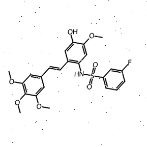 COc1cc(NS(=O)(=O)c2cccc(F)c2)c(C=Cc2cc(OC)c(OC)c(OC)c2)cc1O